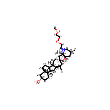 COCCOCCN1C[C@@H](C)C[C@H]2O[C@]3(CC[C@@H]4C(=C(C)C3)C[C@H]3[C@H]4CC=C4C[C@@H](O)CC[C@@]43C)[C@H](C)[C@@H]21